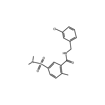 Cc1ccc(S(=O)(=O)N(C)C)cc1C(=O)NCc1cccc(Cl)c1